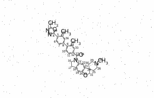 Cc1nnc(-c2ccc(-c3ccc(C(=O)N4CCc5cc6c(cc54)C4(CCN(C)CC4)CO6)cc3C)cc2C)o1